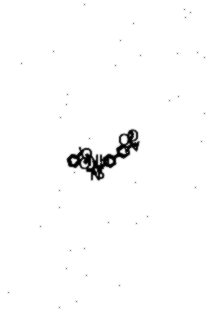 COC(=O)C1(c2ccc(C3=CCC(c4snc(C)c4NC(=O)O[C@H](C)c4ccccc4)CC3)cc2)CC1